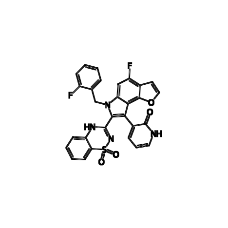 O=c1[nH]cccc1-c1c(C2=NS(=O)(=O)c3ccccc3N2)n(Cc2ccccc2F)c2cc(F)c3ccoc3c12